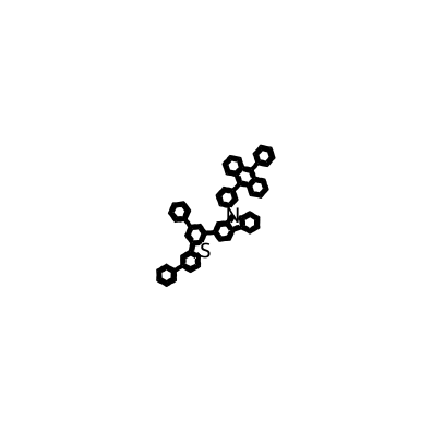 c1ccc(-c2ccc3sc4c(-c5ccc6c7ccccc7n(-c7cccc(-c8c9ccccc9c(-c9ccccc9)c9ccccc89)c7)c6c5)cc(-c5ccccc5)cc4c3c2)cc1